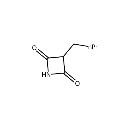 CCCCC1C(=O)NC1=O